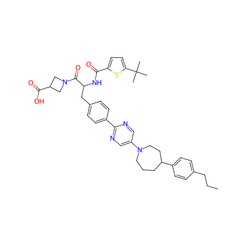 CCCc1ccc(C2CCCN(c3cnc(-c4ccc(CC(NC(=O)c5ccc(C(C)(C)C)s5)C(=O)N5CC(C(=O)O)C5)cc4)nc3)CC2)cc1